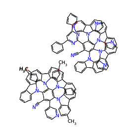 Cc1ccc2c(c1)c1ccccc1n2-c1c(C#N)c(-c2cccnc2)c(-n2c3ccccc3c3cc(C)ccc32)c(-n2c3ccccc3c3cc(C)ccc32)c1-n1c2ccccc2c2cc(C)ccc21.N#Cc1c(-c2nc(-c3ccccc3)cc(-c3ccccc3)n2)c(-n2c3ccccc3c3ccncc32)c(-n2c3ccccc3c3ccncc32)c(-n2c3ccccc3c3ccncc32)c1-n1c2ccccc2c2ccncc21